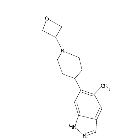 Cc1cc2cn[nH]c2cc1C1CCN(C2COC2)CC1